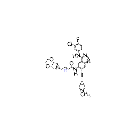 CN1CC2C(C#Cc3cc4ncnc(Nc5ccc(F)c(Cl)c5)c4cc3NC(=O)/C=C/CN3CC4OCCOC4C3)C2C1